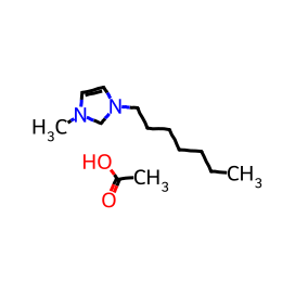 CC(=O)O.CCCCCCCN1C=CN(C)C1